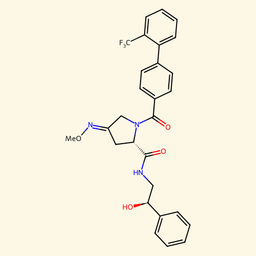 CO/N=C1\C[C@@H](C(=O)NC[C@H](O)c2ccccc2)N(C(=O)c2ccc(-c3ccccc3C(F)(F)F)cc2)C1